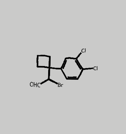 O=CC(Br)C1(c2ccc(Cl)c(Cl)c2)CCC1